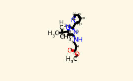 COC(=O)CCNc1cc(C(C)(C)C)nc(-c2ccccn2)n1